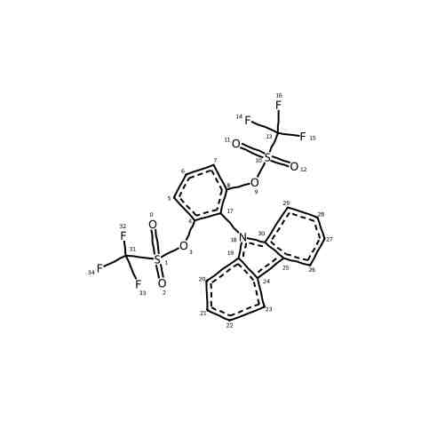 O=S(=O)(Oc1cccc(OS(=O)(=O)C(F)(F)F)c1-n1c2ccccc2c2ccccc21)C(F)(F)F